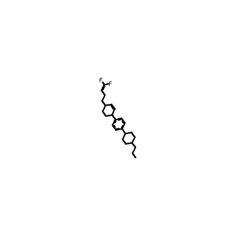 CCCC1CCC(c2ccc(C3C=CC(CCC=C(F)F)CC3)cc2)CC1